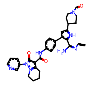 C=C/N=C(/N)c1[nH]c(C2CCN(C=O)CC2)cc1-c1ccc(NC(=O)c2c3n(n(-c4cccnc4)c2=O)CCCC3)cc1